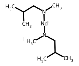 CC(C)C[N](C)[Nd+][N](C)CC(C)C.[I-]